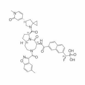 Cc1ccc2onc(C(=O)N3CC[C@H]4CC[C@@H](C(=O)N5C[C@H](c6ccn(C)c(=O)c6)CC56CC6)N4C(=O)[C@@H](NC(=O)c4ccc5ccc([C@H](F)P(=O)(O)O)cc5c4)C3)c2c1